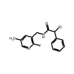 CCC(C(=O)NCc1cc(C)cnc1F)c1ccccc1